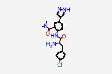 CN(C)C(=O)c1cc(-c2cn[nH]c2)ccc1NC(=O)[C@H](N)Cc1ccc(Cl)cc1